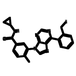 Cc1ccc(C(=O)NC2CC2)cc1-n1cnc2c(-c3ccccc3CI)ncnc21